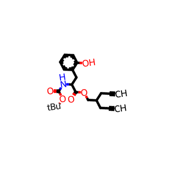 C#CCC(CC#C)COC(=O)C(Cc1ccccc1O)NC(=O)OC(C)(C)C